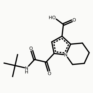 CC(C)(C)NC(=O)C(=O)c1cc(C(=O)O)c2n1CCCC2